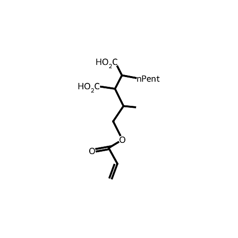 C=CC(=O)OCC(C)C(C(=O)O)C(CCCCC)C(=O)O